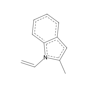 C=Cn1c(C)cc2ccccc21